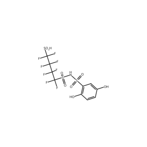 O=S(=O)(NS(=O)(=O)C(F)(F)C(F)(F)C(F)(F)C(F)(F)S(=O)(=O)O)c1cc(O)ccc1O